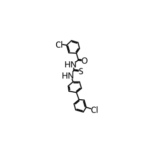 O=C(NC(=S)Nc1ccc(-c2cccc(Cl)c2)cc1)c1cccc(Cl)c1